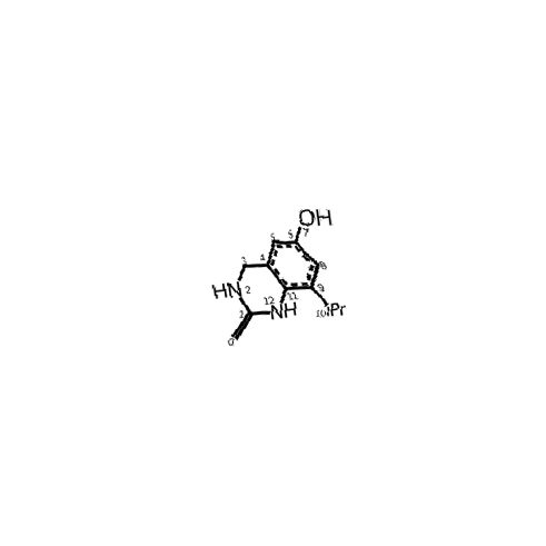 C=C1NCc2cc(O)cc(C(C)C)c2N1